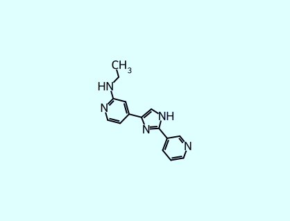 CCNc1cc(-c2c[nH]c(-c3cccnc3)n2)ccn1